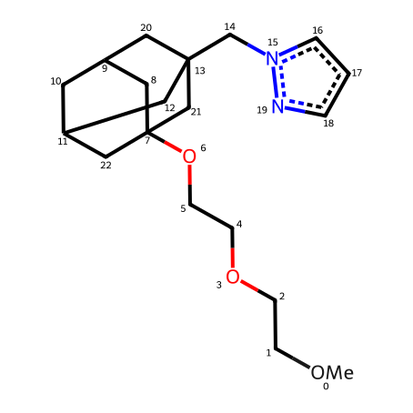 COCCOCCOC12CC3CC(CC(Cn4cccn4)(C3)C1)C2